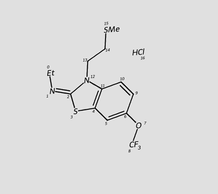 CCN=c1sc2cc(OC(F)(F)F)ccc2n1CCSC.Cl